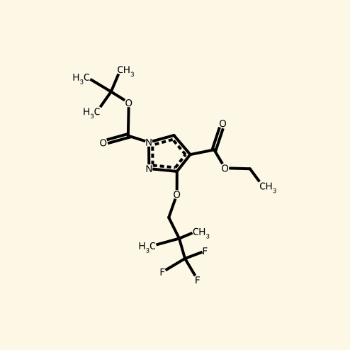 CCOC(=O)c1cn(C(=O)OC(C)(C)C)nc1OCC(C)(C)C(F)(F)F